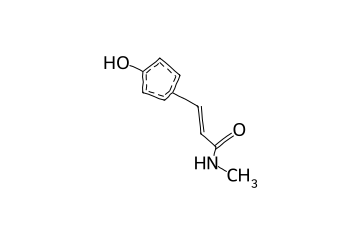 CNC(=O)C=Cc1ccc(O)cc1